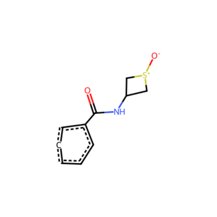 O=C(NC1C[S+]([O-])C1)c1ccccc1